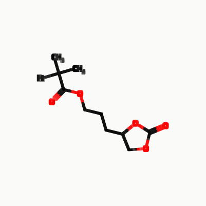 CCC(C)(C)C(=O)OCCCC1COC(=O)O1